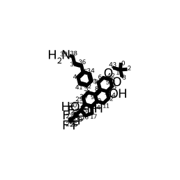 CC1(C)COC2(CCC3=C4[C@@H](CC[C@@]3(O)C2)[C@@H]2CC[C@@](O)(C(F)(F)C(F)(F)F)[C@@]2(C)C[C@@H]4c2ccc(/C=C/CN)cc2)OC1